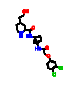 O=C(COc1ccc(Cl)c(Cl)c1)NC1CC2(NC(=O)C3CC(CCO)CCN3)CC1C2